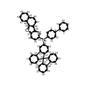 c1ccc(-c2ccc(N(c3ccc4c(c3)-c3ccccc3C43c4ccccc4-c4ccccc43)c3ccc4oc5c6ccccc6ccc5c4n3)cc2)cc1